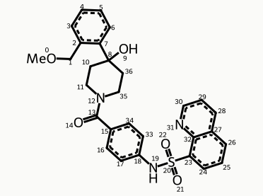 COCc1ccccc1C1(O)CCN(C(=O)c2ccc(NS(=O)(=O)c3cccc4cccnc34)cc2)CC1